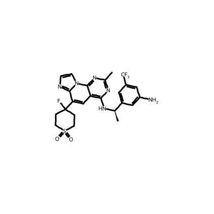 Cc1nc(N[C@H](C)c2cc(N)cc(C(F)(F)F)c2)c2cc(C3(F)CCS(=O)(=O)CC3)c3nccn3c2n1